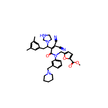 COC(=O)c1ccc(CN(C(=O)C(=C(C#N)C#N)C(Cc2cc(C)cc(C)c2)N2CCNC2)c2cccc(CN3CCCCC3)c2)o1